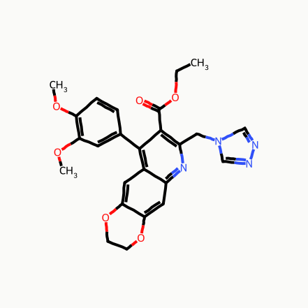 CCOC(=O)c1c(Cn2cnnc2)nc2cc3c(cc2c1-c1ccc(OC)c(OC)c1)OCCO3